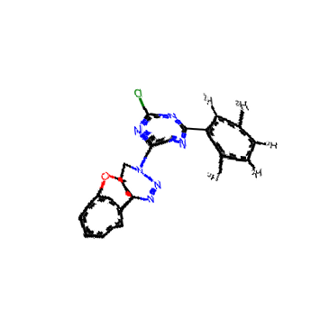 [2H]c1c([2H])c([2H])c(-c2nc(Cl)nc(N3CC45C=CC=CC4(N=N3)c3ccccc3O5)n2)c([2H])c1[2H]